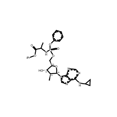 CC(C)OC(=O)C(C)NP(=O)(OC[C@H]1O[C@@H](n2cnc3c(NC4CC4)ncnc32)[C@@H](C)[C@@H]1O)Oc1ccccc1